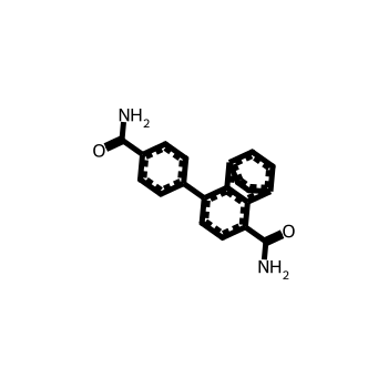 NC(=O)c1ccc(-c2ccc(C(N)=O)c3c4ccc(cc4)c23)cc1